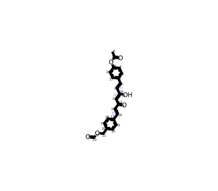 CC(=O)Oc1ccc(/C=C/C(O)=C/C(=O)/C=C/c2ccc(COC=O)cc2)cc1